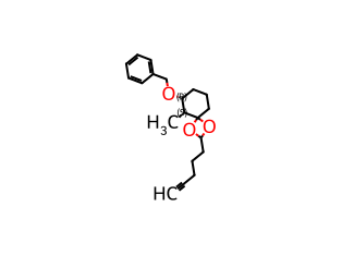 C#CCCCC1OC2(CCC[C@@H](OCc3ccccc3)[C@@H]2C)O1